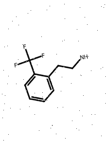 [NH]CCc1ccccc1C(F)(F)F